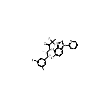 C[C@H](NC(=O)C(C)(F)F)[C@H](Oc1ccc2c(c1)nnn2-c1ccccn1)c1cc(F)cc(F)c1